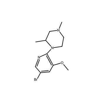 COc1cc(Br)cnc1N1CCN(C)CC1C